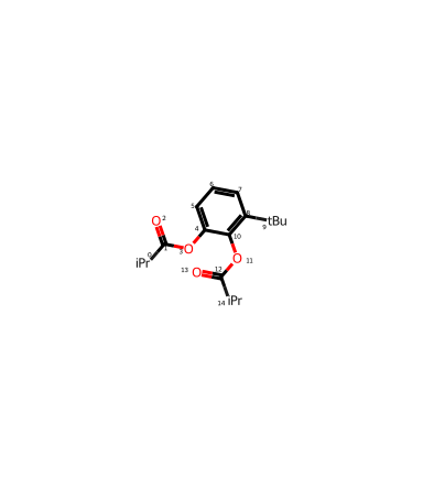 CC(C)C(=O)Oc1cccc(C(C)(C)C)c1OC(=O)C(C)C